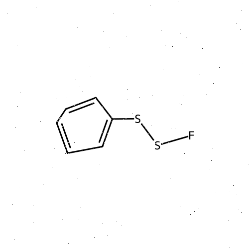 FSSc1ccccc1